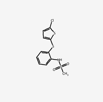 CS(=O)(=O)Nc1ccccc1Sc1ccc(Cl)s1